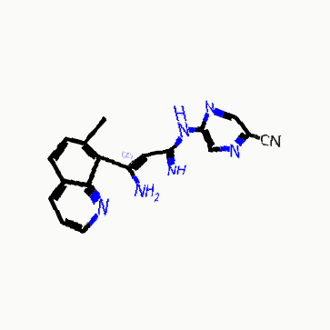 Cc1ccc2cccnc2c1/C(N)=C/C(=N)Nc1cnc(C#N)cn1